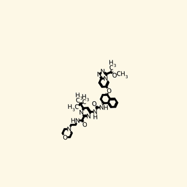 CO[C@@H](C)c1nnc2ccc(O[C@@H]3CC[C@H](NC(=O)Nc4cc(C(C)(C)C)nc(C(=O)NCCN5CCOCC5)n4)c4ccccc43)cn12